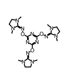 CN1CCN(C)C1=NOc1nc(ON=C2N(C)CCN2C)nc(ON=C2N(C)CCN2C)n1